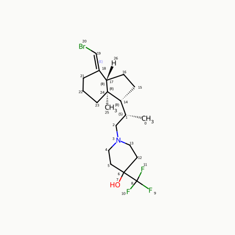 C[C@H](CN1CCC(O)(C(F)(F)F)CC1)[C@H]1CC[C@H]2/C(=C/Br)CCC[C@]12C